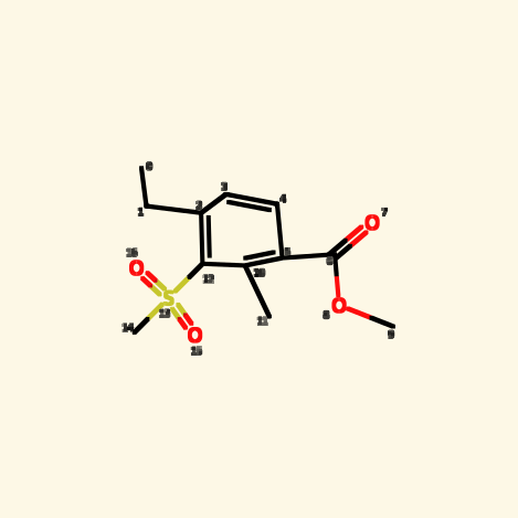 CCc1ccc(C(=O)OC)c(C)c1S(C)(=O)=O